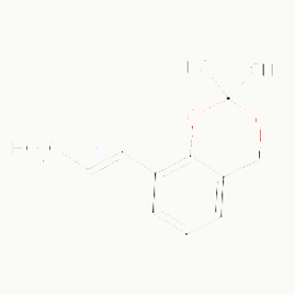 CC1(C)OCc2cccc(/C=C/C(=O)O)c2O1